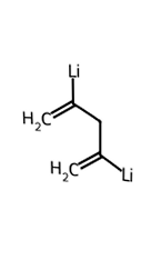 [Li][C](=C)C[C]([Li])=C